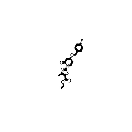 CCOC(=O)c1sc(-n2ccc(OCc3ccc(F)cc3)cc2=O)nc1C